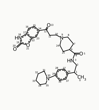 CC(CNC(=O)C1CCN(CCC(=O)c2ccc3[nH]c(=O)oc3c2)CC1)c1ccc(N2CCCCC2)cc1